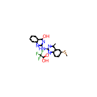 CSc1ccc2nc(Nc3nc(O)c4ccccc4n3)nc(C)c2c1.O=C(O)C(F)(F)F